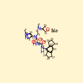 CN(CCN(c1cnn(C)c1)S(=O)(=O)NC(=O)Nc1c2c(cc3c1CCC3)CCC2)C1COC1.[Na]